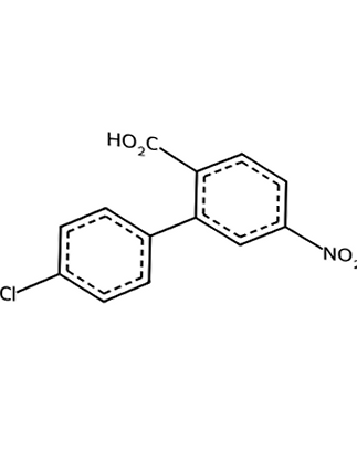 O=C(O)c1ccc([N+](=O)[O-])cc1-c1ccc(Cl)cc1